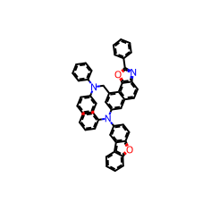 c1ccc(-c2nc3ccc4cc(N(c5ccccc5)c5ccc6oc7ccccc7c6c5)cc(CN(c5ccccc5)c5ccccc5)c4c3o2)cc1